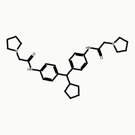 O=C(CN1CCCC1)Nc1ccc(C(c2ccc(NC(=O)CN3CCCC3)cc2)C2CCCC2)cc1